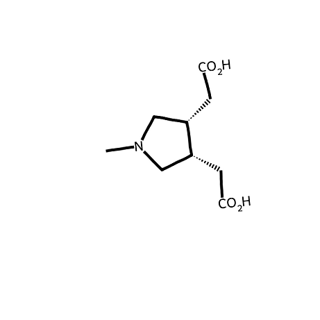 CN1C[C@@H](CC(=O)O)[C@@H](CC(=O)O)C1